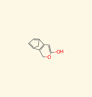 OC1=CC2=C(CO1)C1=CC=C2C1